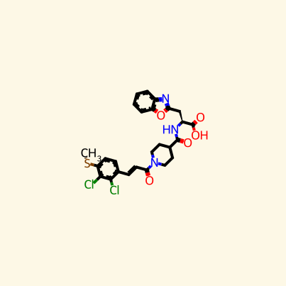 CSc1ccc(/C=C/C(=O)N2CCC(C(=O)N[C@@H](Cc3nc4ccccc4o3)C(=O)O)CC2)c(Cl)c1Cl